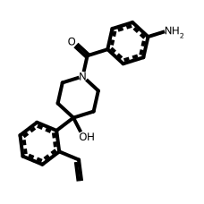 C=Cc1ccccc1C1(O)CCN(C(=O)c2ccc(N)cc2)CC1